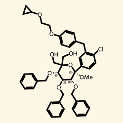 CO[C@@]1(c2ccc(Cl)c(Cc3ccc(OCCOC4CC4)cc3)c2)OC(CO)(CO)[C@@H](OCc2ccccc2)[C@H](OCc2ccccc2)[C@H]1OCc1ccccc1